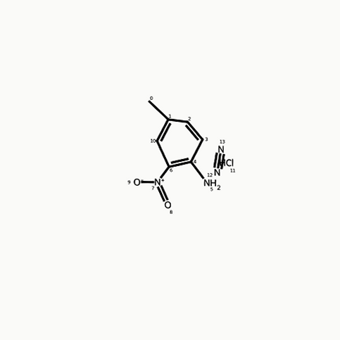 Cc1ccc(N)c([N+](=O)[O-])c1.Cl.N#N